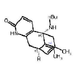 C/C=C1\[C@H]2C=C(C)C[C@]1(NCCCC)c1ccc(=O)[nH]c1C2